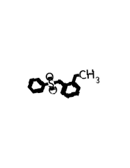 CCc1ccccc1CS(=O)(=O)c1ccccc1